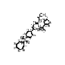 CCOC(=O)N(NC(=O)c1ccc(S(=O)(=O)N2C=CC=CC=C2)cc1)C(=O)c1ccsc1